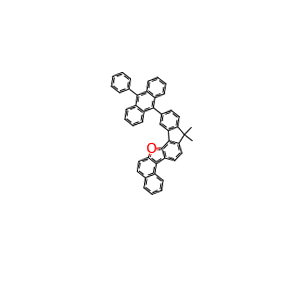 CC1(C)c2ccc(-c3c4ccccc4c(-c4ccccc4)c4ccccc34)cc2-c2c1ccc1c2oc2ccc3ccccc3c21